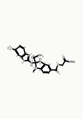 CNC(=O)COC(=O)c1ccc2c(c1)NC(Nc1nc3ccc(C(F)(F)F)cc3s1)(C(N)=O)N2C